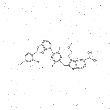 COCCn1c(Cc2cc(F)c(-c3cccc4c3OC(c3ccc(C)cc3F)O4)cc2F)nc2ccc(C(O)O)cc21